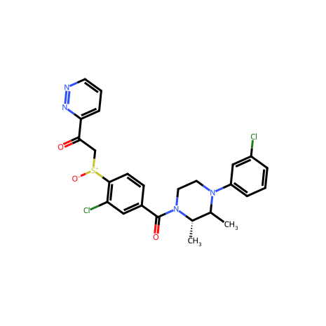 CC1[C@H](C)N(C(=O)c2ccc([S+]([O-])CC(=O)c3cccnn3)c(Cl)c2)CCN1c1cccc(Cl)c1